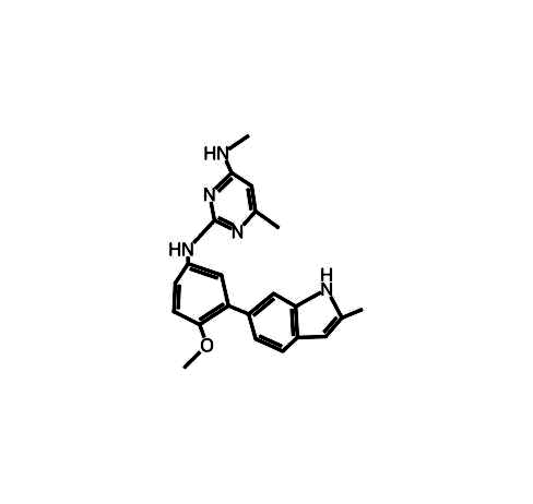 CNc1cc(C)nc(Nc2ccc(OC)c(-c3ccc4cc(C)[nH]c4c3)c2)n1